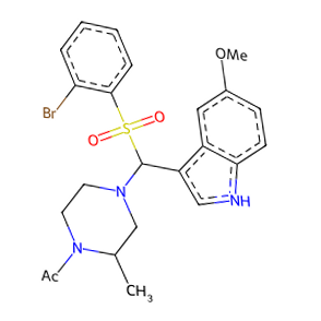 COc1ccc2[nH]cc(C(N3CCN(C(C)=O)C(C)C3)S(=O)(=O)c3ccccc3Br)c2c1